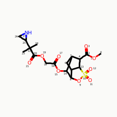 COC(=O)C1C2CC3C(OS(=O)(=O)C31)C2OC(=O)COC(=O)C(C)(C)C1CN1